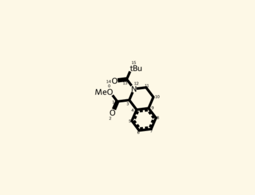 COC(=O)C1c2ccccc2CCN1C(=O)C(C)(C)C